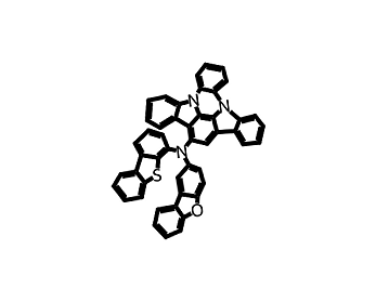 c1ccc2c(c1)oc1ccc(N(c3cccc4c3sc3ccccc34)c3cc4c5ccccc5n5c6ccccc6n6c7ccccc7c3c6c45)cc12